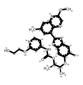 COc1cnc2c(-c3nc4cc(F)c(O[C@@H](C)[C@@H](C)OC(=O)Nc5ccnc(OCCO)c5)cc4s3)cc(C)cc2n1